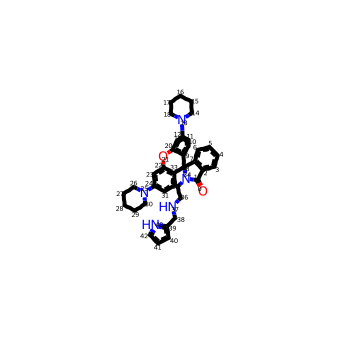 O=C1c2ccccc2C2(c3ccc(N4CCCCC4)cc3Oc3cc(N4CCCCC4)ccc32)N1CCNCc1ccc[nH]1